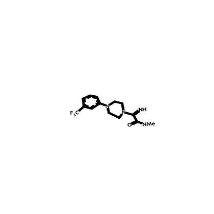 CNC(=O)C(=N)N1CCN(c2cccc(C(F)(F)F)c2)CC1